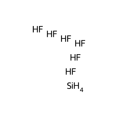 F.F.F.F.F.F.[SiH4]